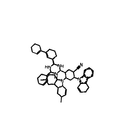 CC1C=CC2C(C1)C1CC(C)CCC1N2C1CC(n2c3c(c4ccccc42)CCC=C3)C(C#N)CC1C1NC(C2C=CCCC2)NC(C2C=C(C3=CCCCC3)CCC2)N1